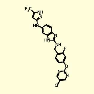 Fc1cc(Oc2ncc(Cl)cn2)ccc1CNc1nc2ccc(Nc3cc(C(F)(F)F)[nH]n3)cc2[nH]1